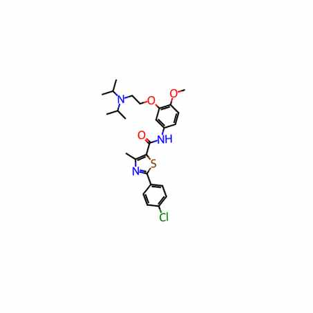 COc1ccc(NC(=O)c2sc(-c3ccc(Cl)cc3)nc2C)cc1OCCN(C(C)C)C(C)C